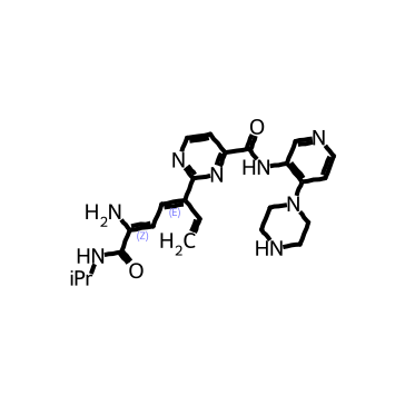 C=C/C(=C\C=C(/N)C(=O)NC(C)C)c1nccc(C(=O)Nc2cnccc2N2CCNCC2)n1